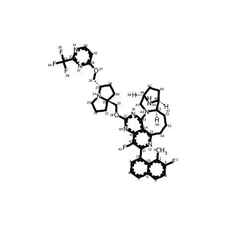 Cc1c(F)ccc2cccc(-c3nc4c5c(nc(OC[C@@]67CCCN6[C@H](COc6ccnc(C(F)(F)F)n6)CC7)nc5c3F)N3C[C@H]5CC[C@H](N5)[C@H]3CCC4)c12